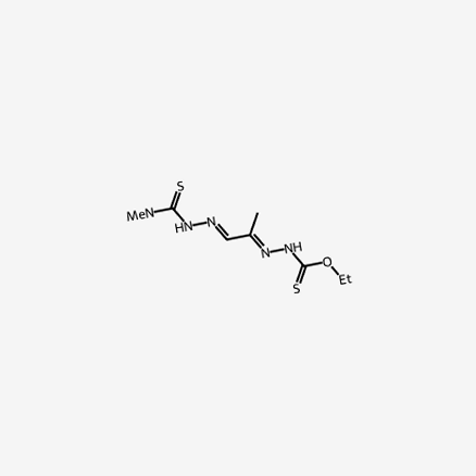 CCOC(=S)N/N=C(C)/C=N/NC(=S)NC